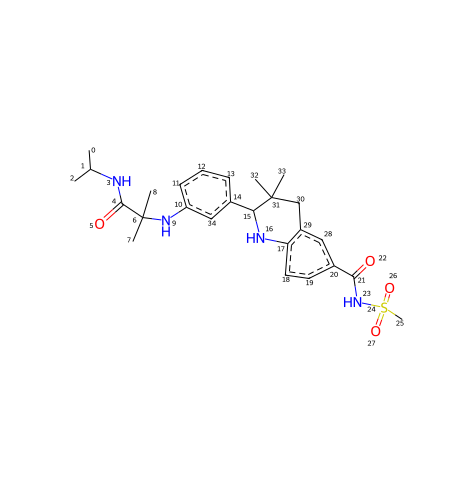 CC(C)NC(=O)C(C)(C)Nc1cccc(C2Nc3ccc(C(=O)NS(C)(=O)=O)cc3CC2(C)C)c1